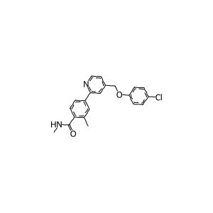 CNC(=O)c1ccc(-c2cc(COc3ccc(Cl)cc3)ccn2)cc1C